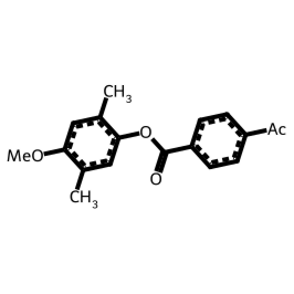 COc1cc(C)c(OC(=O)c2ccc(C(C)=O)cc2)cc1C